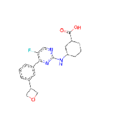 O=C(O)C1CCCC(Nc2ncc(F)c(-c3cccc(C4COC4)c3)n2)C1